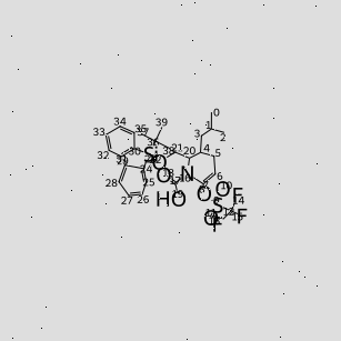 CC(C)CC1CC=C(OS(=O)(=O)C(F)(F)F)N(C(=O)O)C1CO[Si](c1ccccc1)(c1ccccc1)C(C)(C)C